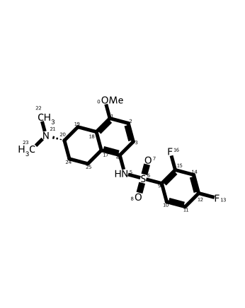 COc1ccc(NS(=O)(=O)c2ccc(F)cc2F)c2c1C[C@@H](N(C)C)CC2